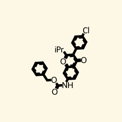 CC(C)c1oc2cc(NC(=O)OCc3ccccc3)ccc2c(=O)c1-c1ccc(Cl)cc1